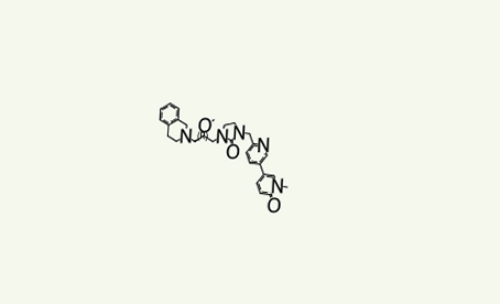 CO[C@H](CN1CCc2ccccc2C1)CN1CCN(Cc2ccc(-c3ccc(=O)n(C)c3)cn2)C1=O